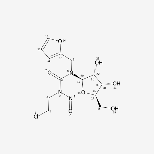 O=NN(CCCl)C(=O)N(Cc1ccco1)[C@@H]1O[C@H](CO)[C@@H](O)[C@H]1O